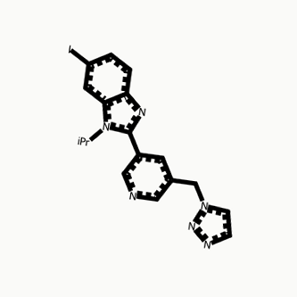 CC(C)n1c(-c2cncc(Cn3ccnn3)c2)nc2ccc(I)cc21